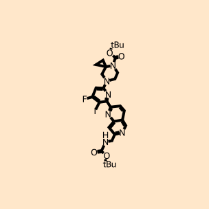 CC(C)(C)OC(=O)NCc1cc2nc(-c3nc(N4CCN(C(=O)OC(C)(C)C)C5(CC5)C4)cc(F)c3I)ccc2cn1